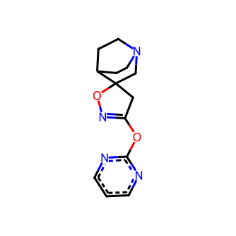 c1cnc(OC2=NOC3(C2)CN2CCC3CC2)nc1